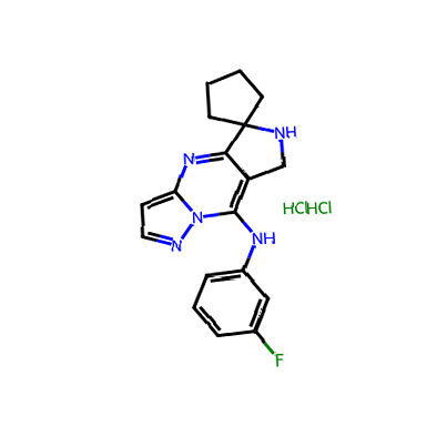 Cl.Cl.Fc1cccc(Nc2c3c(nc4ccnn24)C2(CCCC2)NC3)c1